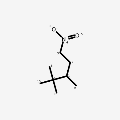 CC(CC[N+](=O)[O-])C(C)(C)C